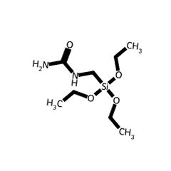 CCO[Si](CNC(N)=O)(OCC)OCC